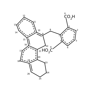 O=C(O)c1cccc(C(=O)O)c1CC1=c2ccccc2=c2ccc3c(c2C1)CCCC=3